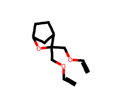 C=COCC1(COC=C)OC2CCC1C2